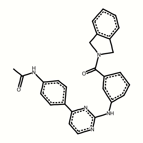 CC(=O)Nc1ccc(-c2ccnc(Nc3cccc(C(=O)N4Cc5ccccc5C4)c3)n2)cc1